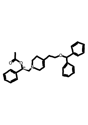 CC(=O)O[C@@H](CN1CC=C(CCOC(c2ccccc2)c2ccccc2)CC1)c1ccccc1